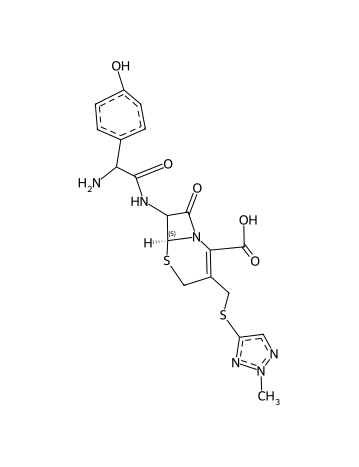 Cn1ncc(SCC2=C(C(=O)O)N3C(=O)C(NC(=O)C(N)c4ccc(O)cc4)[C@@H]3SC2)n1